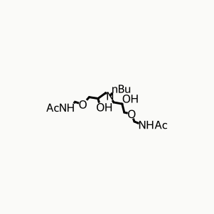 CCCCN(CC(O)COCNC(C)=O)CC(O)COCNC(C)=O